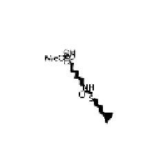 COP(=O)(O)OCCCCCCNC(=O)CSCCCCC1CC1